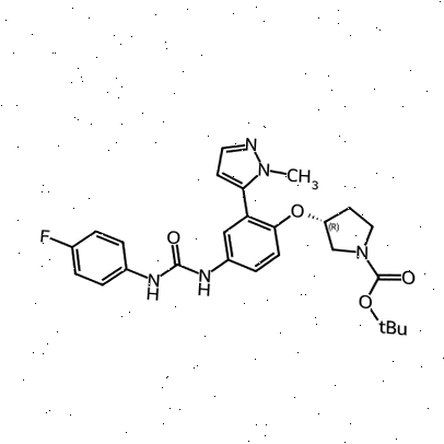 Cn1nccc1-c1cc(NC(=O)Nc2ccc(F)cc2)ccc1O[C@@H]1CCN(C(=O)OC(C)(C)C)C1